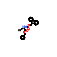 CC(C)C[C@H](NC(=O)OCC1c2ccccc2-c2ccccc21)C(=O)OCc1ccccc1